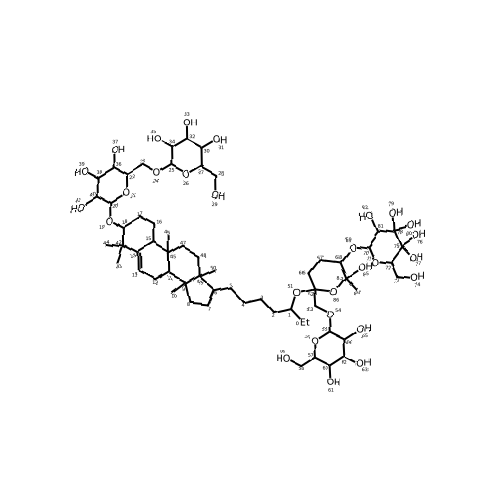 CCC(CCCCC1CCC2(C)C3CC=C4C(CCC(OC5OC(COC6OC(CO)C(O)C(O)C6O)C(O)C(O)C5O)C4(C)C)C3(C)CCC12C)OC1(COC2OC(CO)C(O)C(O)C2O)CCC(OC2OC(CO)C(O)(O)C(O)(O)C2O)C(C)(O)O1